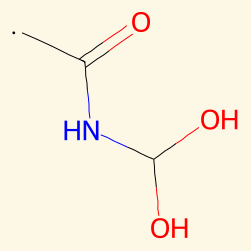 [CH2]C(=O)NC(O)O